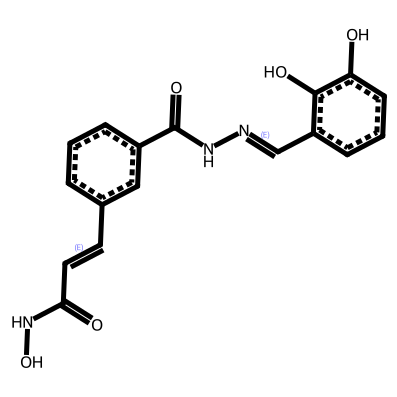 O=C(/C=C/c1cccc(C(=O)N/N=C/c2cccc(O)c2O)c1)NO